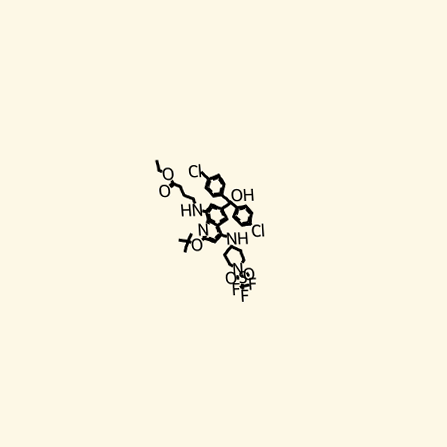 CCOC(=O)CCCNc1cc(C(O)(c2ccc(Cl)cc2)c2ccc(Cl)cc2)cc2c(NC3CCN(S(=O)(=O)C(F)(F)F)CC3)cc(OC(C)(C)C)nc12